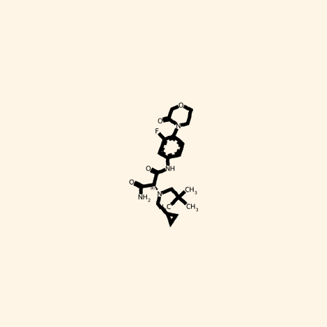 CC(C)(C)CN(CC1CC1)[C@H](C(N)=O)C(=O)Nc1ccc(N2CCOCC2=O)c(F)c1